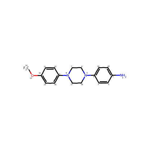 Nc1ccc(N2CCN(c3ccc(OC(F)(F)F)cc3)CC2)cc1